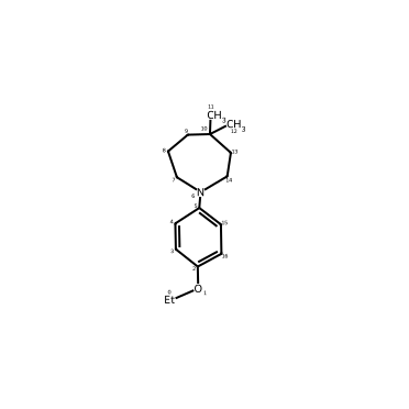 CCOc1ccc(N2CCCC(C)(C)CC2)cc1